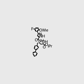 COc1ccc(F)cc1-c1cc(C(=O)N[C@H](Cc2ccc(-c3ccccc3)cc2)C[C@@H](O)C(=O)OC(C)C)[nH]n1